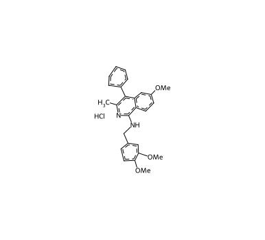 COc1ccc2c(NCc3ccc(OC)c(OC)c3)nc(C)c(-c3ccccc3)c2c1.Cl